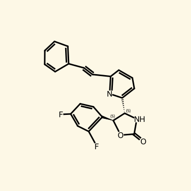 O=C1N[C@@H](c2cccc(C#Cc3ccccc3)n2)[C@H](c2ccc(F)cc2F)O1